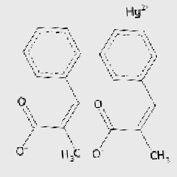 CC(=Cc1ccccc1)C(=O)[O-].CC(=Cc1ccccc1)C(=O)[O-].[Hg+2]